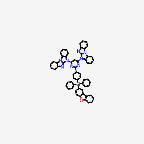 c1ccc([Si](c2ccccc2)(c2ccc(-c3nc(-n4c5ccccc5n5c6ccccc6nc45)cc(-n4c5ccccc5n5c6ccccc6nc45)n3)cc2)c2ccc3oc4ccccc4c3c2)cc1